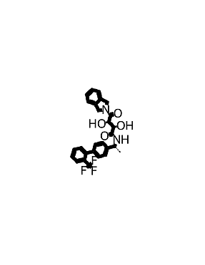 C[C@@H](NC(=O)[C@H](O)[C@@H](O)C(=O)N1Cc2ccccc2C1)c1ccc(-c2ccccc2C(F)(F)F)cc1